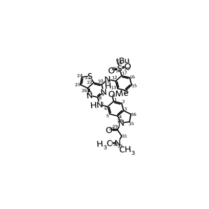 COc1cc2c(cc1Nc1nc(Nc3ccccc3S(=O)(=O)C(C)(C)C)c3sccc3n1)N(C(=O)CN(C)C)CC2